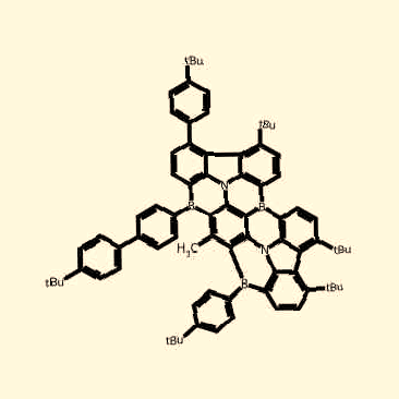 Cc1c2c3c4c5c1B(c1ccc(C(C)(C)C)cc1)c1ccc(C(C)(C)C)c6c7c(C(C)(C)C)ccc(c7n-5c16)B4c1ccc(C(C)(C)C)c4c5c(-c6ccc(C(C)(C)C)cc6)ccc(c5n-3c14)B2c1ccc(-c2ccc(C(C)(C)C)cc2)cc1